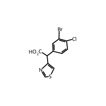 O=C(O)C(c1ccc(Cl)c(Br)c1)c1cscn1